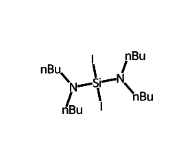 CCCCN(CCCC)[Si](I)(I)N(CCCC)CCCC